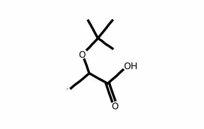 [CH2]C(OC(C)(C)C)C(=O)O